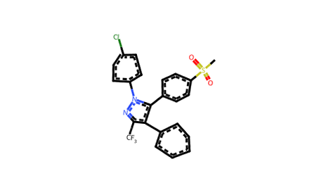 CS(=O)(=O)c1ccc(-c2c(-c3ccccc3)c(C(F)(F)F)nn2-c2ccc(Cl)cc2)cc1